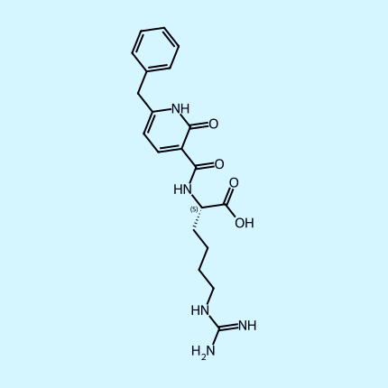 N=C(N)NCCCC[C@H](NC(=O)c1ccc(Cc2ccccc2)[nH]c1=O)C(=O)O